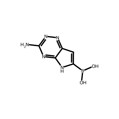 Nc1nnc2cc(B(O)O)[nH]c2n1